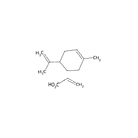 C=C(C)C1CC=C(C)CC1.C=CC(=O)O